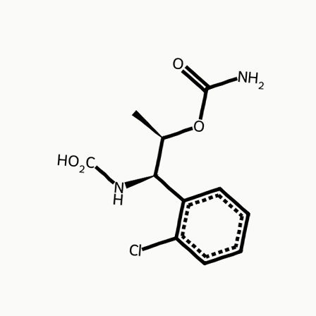 C[C@@H](OC(N)=O)[C@H](NC(=O)O)c1ccccc1Cl